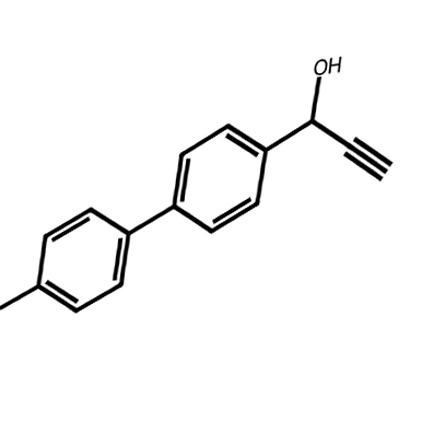 C#CC(O)c1ccc(-c2ccc(F)cc2)cc1